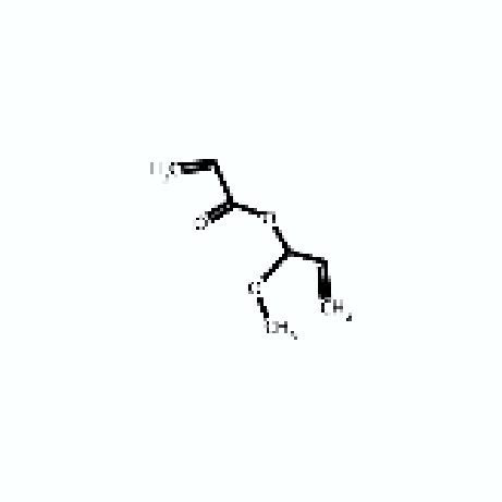 C=CC(=O)OC(C=C)OC